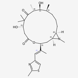 C/C(=C\c1csc(C)n1)[C@@H]1C[C@H]2[C@@H](CCC[C@H](C)[C@H](O)[C@@H](C)C(=O)C(C)(C)[C@@H](O)CC(=O)O1)N2C